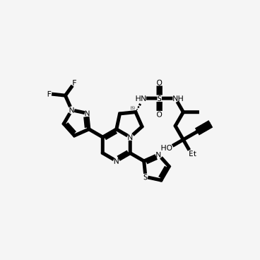 C#CC(O)(CC)CC(C)NS(=O)(=O)N[C@H]1CC2=C(c3ccn(C(F)F)n3)CN=C(c3nccs3)N2C1